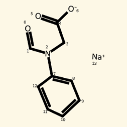 O=CN(CC(=O)[O-])c1ccccc1.[Na+]